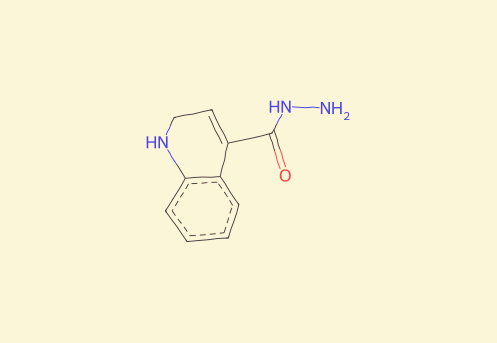 NNC(=O)C1=CCNc2ccccc21